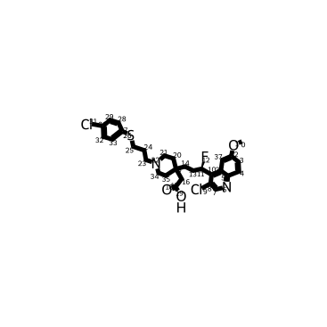 COc1ccc2ncc(Cl)c([C@H](F)CCC3(CC(=O)O)CCN(CCCSc4ccc(Cl)cc4)CC3)c2c1